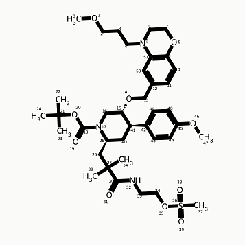 COCCCN1CCOc2ccc(CO[C@H]3CN(C(=O)OC(C)(C)C)[C@H](CC(C)(C)C(=O)NCCOS(C)(=O)=O)C[C@@H]3c3ccc(OC)cc3)cc21